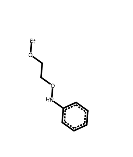 CCOCCONc1ccccc1